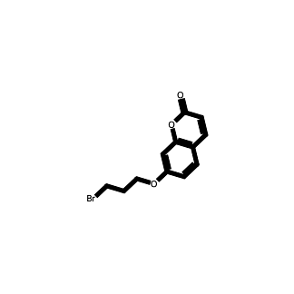 O=c1ccc2ccc(OCCCBr)cc2o1